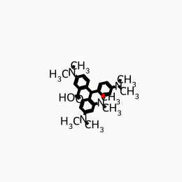 CN(C)c1ccc(C(c2ccc(N(C)C)cc2C(=O)O)c2ccc(N(C)C)cc2N(C)C)cc1